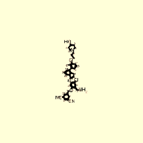 Cc1c(OCCCN2CCC(O)CC2)cccc1-c1cccc2c1CCC2Oc1cc(OCc2cc(C#N)cc(C#N)c2)c(CN)cc1Cl